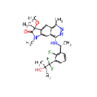 COC1(C)C(=O)N(C)c2cc3c(N[C@H](C)c4cccc(C(F)(F)C(C)(C)O)c4F)nnc(C)c3cc21